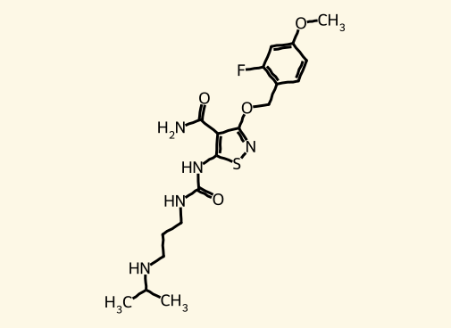 COc1ccc(COc2nsc(NC(=O)NCCCNC(C)C)c2C(N)=O)c(F)c1